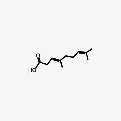 CC(C)=CCC/C(C)=C/CC(=O)O